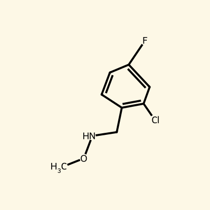 CONCc1ccc(F)cc1Cl